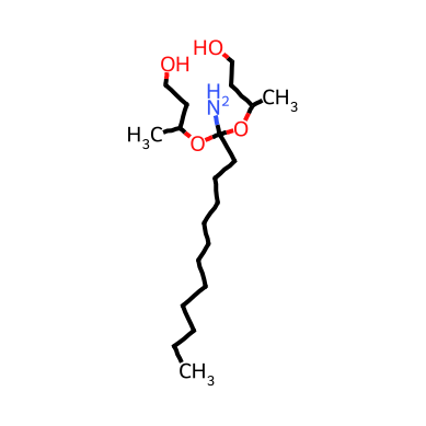 CCCCCCCCCCCC(N)(OC(C)CCO)OC(C)CCO